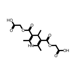 CC1=C(C(=O)OCC(=O)O)C(C)C(C(=O)OCC(=O)O)=C(C)N1